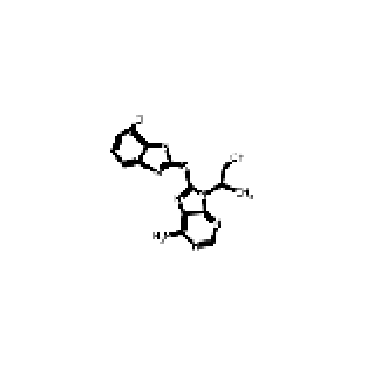 CC(CO)n1c(Sc2nc3cccc(Cl)c3s2)nc2c(N)ncnc21